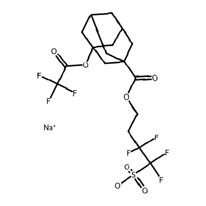 O=C(OC12CC3CC(C1)CC(C(=O)OCCC(F)(F)C(F)(F)S(=O)(=O)[O-])(C3)C2)C(F)(F)F.[Na+]